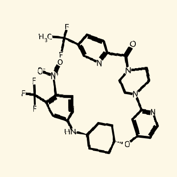 CC(F)(F)c1ccc(C(=O)N2CCN(c3cc(O[C@H]4CC[C@H](Nc5ccc([N+](=O)[O-])c(C(F)(F)F)c5)CC4)ccn3)CC2)nc1